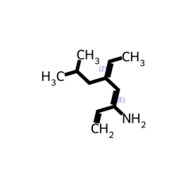 C=C/C(N)=C\C(=C/C)CC(C)C